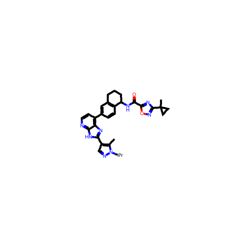 Cc1c(-c2nc3c(-c4ccc5c(c4)CCCC5NC(=O)c4nc(C5(C)CC5)no4)ccnc3[nH]2)cnn1C(C)C